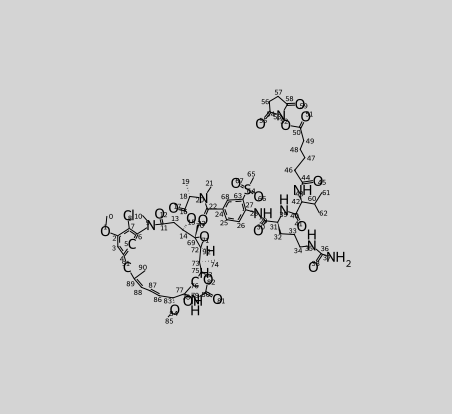 COc1cc2cc(c1Cl)N(C)C(=O)C[C@H](OC(=O)[C@H](C)N(C)C(=O)c1ccc(NC(=O)[C@H](CCCNC(N)=O)NC(=O)[C@@H](NC(=O)CCCCC(=O)ON3C(=O)CCC3=O)C(C)C)c(S(C)(=O)=O)c1)[C@]1(C)O[C@H]1[C@H](C)[C@@H]1C[C@@](O)(NC(=O)O1)[C@H](OC)/C=C/C=C(\C)C2